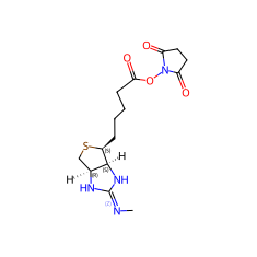 C/N=C1\N[C@H]2[C@H](CS[C@H]2CCCCC(=O)ON2C(=O)CCC2=O)N1